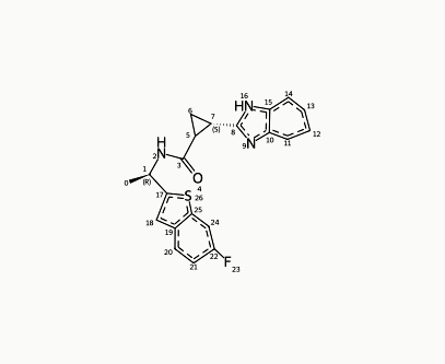 C[C@@H](NC(=O)C1C[C@@H]1c1nc2ccccc2[nH]1)c1cc2ccc(F)cc2s1